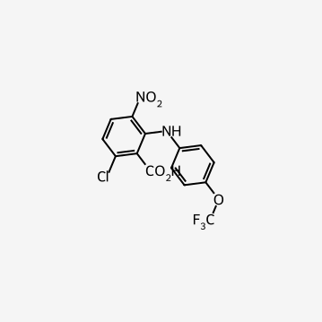 O=C(O)c1c(Cl)ccc([N+](=O)[O-])c1Nc1ccc(OC(F)(F)F)cc1